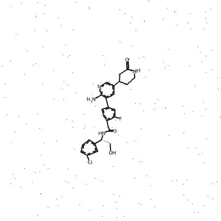 Nc1ncc(C2CCNC(=O)C2)cc1-c1ccc(C(=O)N[C@H](CO)c2cccc(Cl)c2)c(F)c1